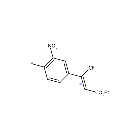 CCOC(=O)/C=C(/c1ccc(F)c([N+](=O)[O-])c1)C(F)(F)F